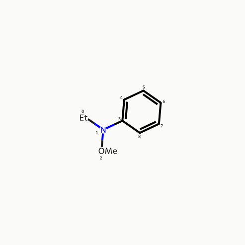 CCN(OC)c1ccccc1